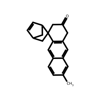 Cc1ccc2cc3c(cc2c1)CC(=O)CC31CC2C=CC1C2